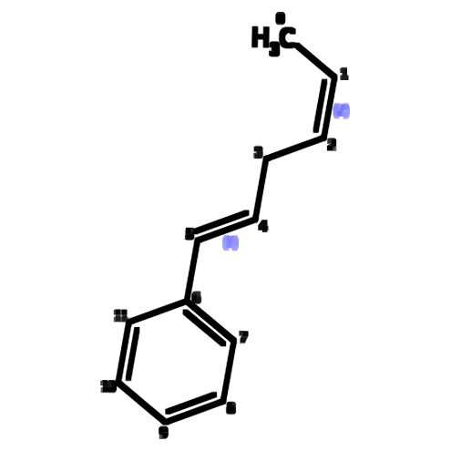 C/C=C\C/C=C/c1ccccc1